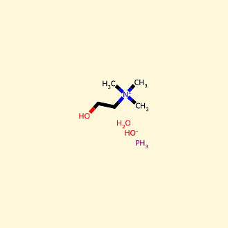 C[N+](C)(C)CCO.O.P.[OH-]